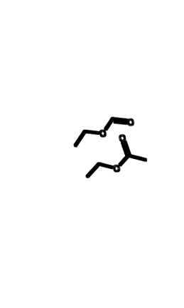 CCOC(C)=O.CCOC=O